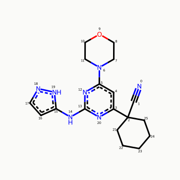 N#CC1(c2cc(N3CCOCC3)nc(Nc3ccn[nH]3)n2)CCCCC1